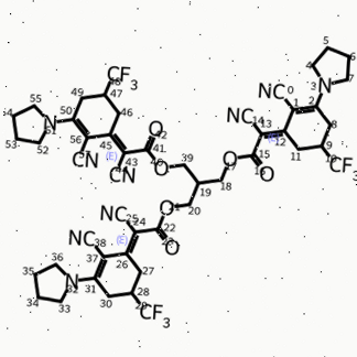 N#CC1=C(N2CCCC2)CC(C(F)(F)F)C/C1=C(/C#N)C(=O)OCC(COC(=O)/C(C#N)=C1\CC(C(F)(F)F)CC(N2CCCC2)=C1C#N)COC(=O)/C(C#N)=C1\CC(C(F)(F)F)CC(N2CCCC2)=C1C#N